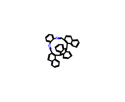 c1ccc2c(c1)ccc1cnc3ccccc3ncc3ccc4ccccc4c3c3c4ccccc4c(c4ccccc43)c12